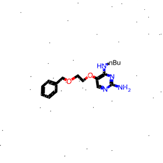 CCCCNc1nc(N)ncc1OCCOCc1ccccc1